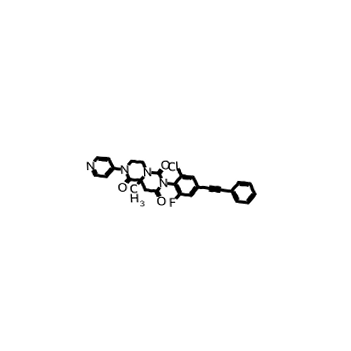 CC12CC(=O)N(c3c(F)cc(C#Cc4ccccc4)cc3Cl)C(=O)N1CCN(c1ccncc1)C2=O